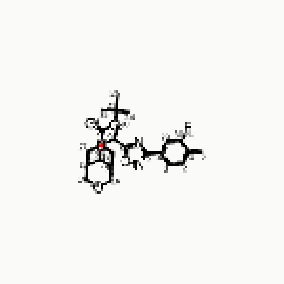 Cc1ccc(-c2noc(C(C)OC3C4COCC3CN(C(=O)OC(C)(C)C)C4)n2)cc1F